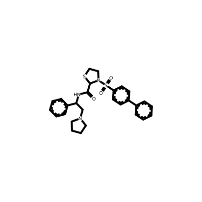 O=C(NC(CN1CCCC1)c1ccccc1)C1SCCN1S(=O)(=O)c1ccc(-c2ccccc2)cc1